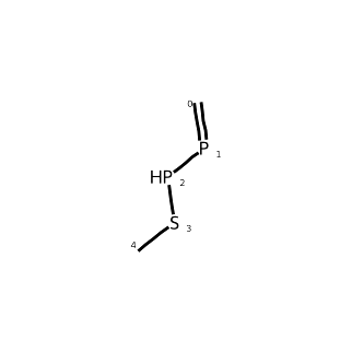 C=PPSC